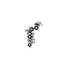 CS(=O)(=O)c1cccc(-c2cnc3[nH]cc(C(=O)c4c(F)ccc(NC(=O)NC5CCCC5)c4F)c3c2)c1